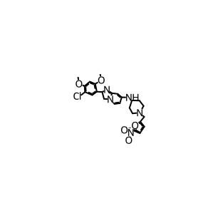 COc1cc(OC)c(C2CN3C=CC(NC4CCN(Cc5ccc([N+](=O)[O-])o5)CC4)=CC3=N2)cc1Cl